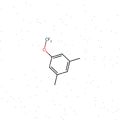 Cc1cc(C)cc(OC(F)(F)F)c1